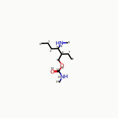 CCCC(NC)C(CC)COC(=O)NC